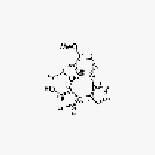 COc1ccc(-n2cccc2-c2scc3c2OCCO3)cc1